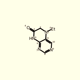 CCN1CC(=O)Nc2ncncc21